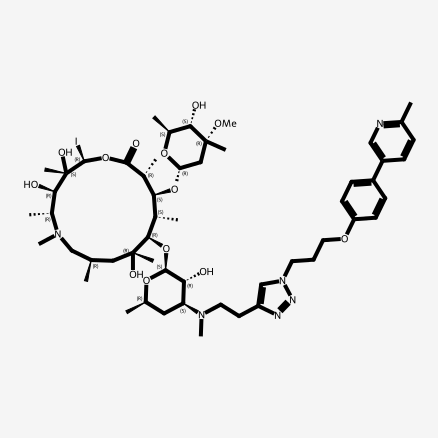 CO[C@]1(C)C[C@H](O[C@H]2[C@H](C)[C@@H](O[C@@H]3O[C@H](C)C[C@H](N(C)CCc4cn(CCCOc5ccc(-c6ccc(C)nc6)cc5)nn4)[C@H]3O)[C@](C)(O)C[C@@H](C)CN(C)[C@H](C)[C@@H](O)[C@](C)(O)[C@@H](I)OC(=O)[C@@H]2C)O[C@@H](C)[C@@H]1O